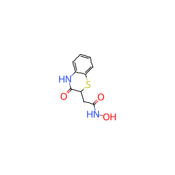 O=C(CC1Sc2ccccc2NC1=O)NO